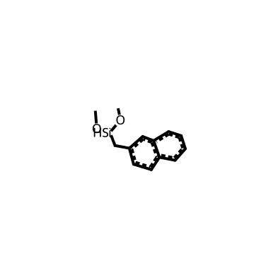 CO[SiH](Cc1ccc2ccccc2c1)OC